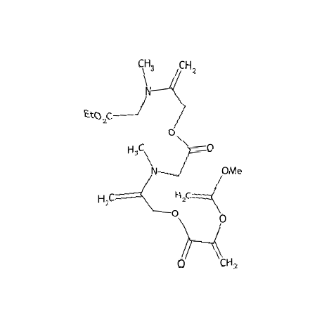 C=C(OC)OC(=C)C(=O)OCC(=C)N(C)CC(=O)OCC(=C)N(C)CC(=O)OCC